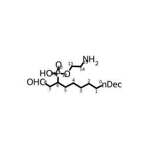 CCCCCCCCCCCCCCCC(CC=O)P(=O)(O)OCCN